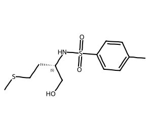 CSCC[C@@H](CO)NS(=O)(=O)c1ccc(C)cc1